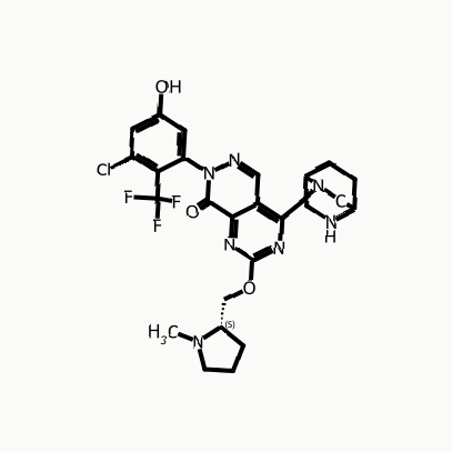 CN1CCC[C@H]1COc1nc(N2CC3CCC2CN3)c2cnn(-c3cc(O)cc(Cl)c3C(F)(F)F)c(=O)c2n1